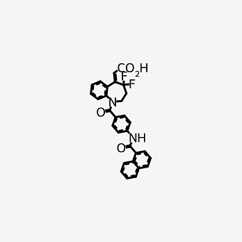 O=C(O)/C=C1/c2ccccc2N(C(=O)c2ccc(NC(=O)c3cccc4ccccc34)cc2)CCC1(F)F